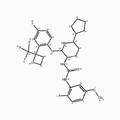 COc1ccc(F)c(NC(=O)NC2CCC(C3CCCC3)NC2Oc2ccc(F)cc2C2(C(F)(F)F)CCO2)c1